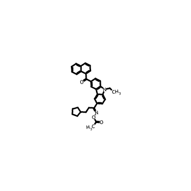 CCn1c2ccc(C(=O)c3cccc4ccccc34)cc2c2cc(/C(CCC3CCCC3)=N/OC(C)=O)ccc21